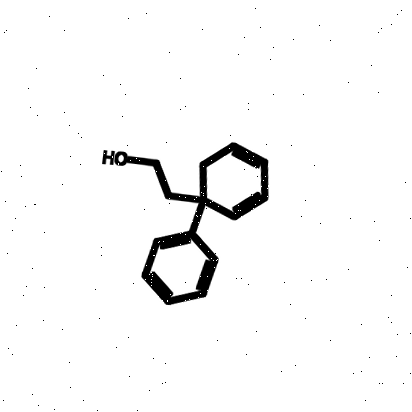 OCCC1(c2ccccc2)C=CC=CC1